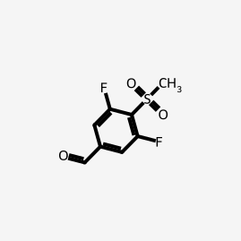 CS(=O)(=O)c1c(F)cc(C=O)cc1F